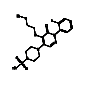 CCCS(=O)(=O)N1CCN(c2cnn(-c3ccccc3F)c(=O)c2OCCOCC)CC1